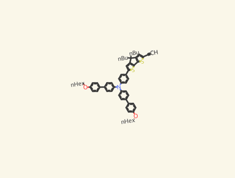 C#Cc1cc2c(s1)-c1sc(-c3ccc(N(c4ccc(-c5ccc(OCCCCCC)cc5)cc4)c4ccc(-c5ccc(OCCCCCC)cc5)cc4)cc3)cc1C2(CCCC)CCCC